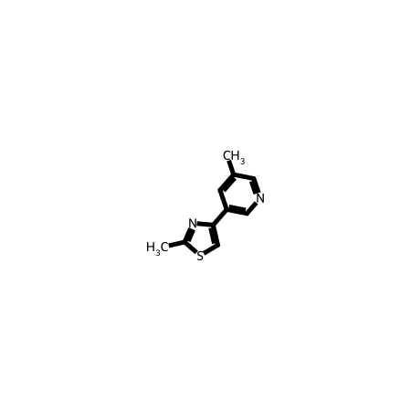 Cc1cncc(-c2csc(C)n2)c1